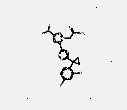 NC(=O)Cn1nc(C(F)F)cc1-c1nc(C2(c3ccc(F)cc3Cl)CC2)no1